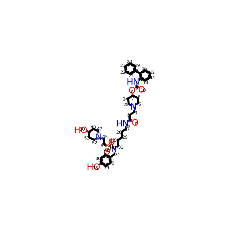 O=C(CCN1CCC(OC(=O)Nc2ccccc2-c2ccccc2)CC1)NCCCCCN(Cc1ccc(O)cc1)S(=O)(=O)CCN1CCC(O)CC1